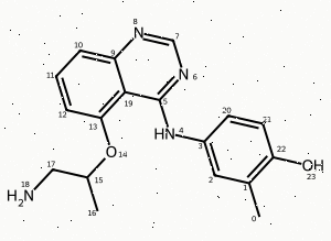 Cc1cc(Nc2ncnc3cccc(OC(C)CN)c23)ccc1O